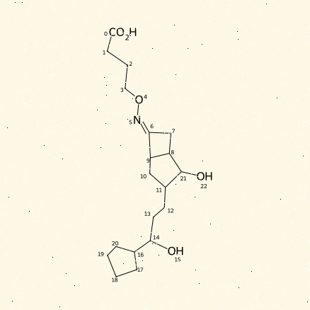 O=C(O)CCCON=C1CC2C1CC(CCC(O)C1CCCC1)C2O